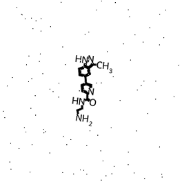 Cc1n[nH]c2ccc(-c3c[c]c(C(=O)NCCN)nc3)cc12